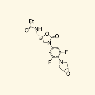 CCC(=O)NC[C@H]1CN(c2cc(F)c(N3CC4OC4C3)c(F)c2)C(=O)O1